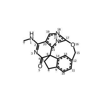 CNC1=NC(=O)C23CCc4ccc(cc42)COc2ncc1c3n2